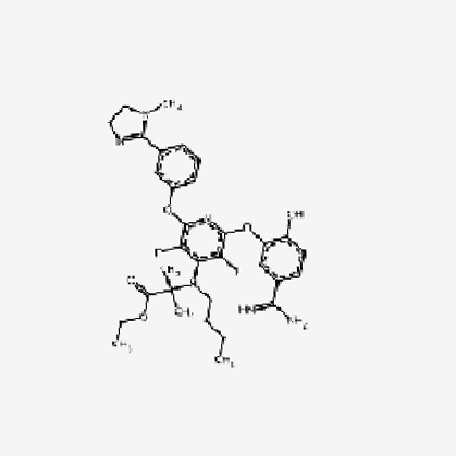 CCCCN(c1c(F)c(Oc2cccc(C3=NCCN3C)c2)nc(Oc2cc(C(=N)N)ccc2O)c1F)C(C)(C)C(=O)OCC